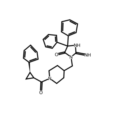 N=C1NC(c2ccccc2)(c2ccccc2)C(=O)N1CC1CCN(C(=O)C2C[C@H]2c2ccccc2)CC1